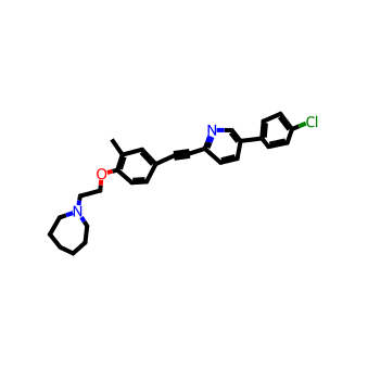 Cc1cc(C#Cc2ccc(-c3ccc(Cl)cc3)cn2)ccc1OCCN1CCCCCC1